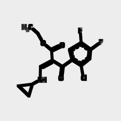 CCOC(=O)/C(=C/NC1CC1)C(=O)c1cc(F)c(F)cc1Cl